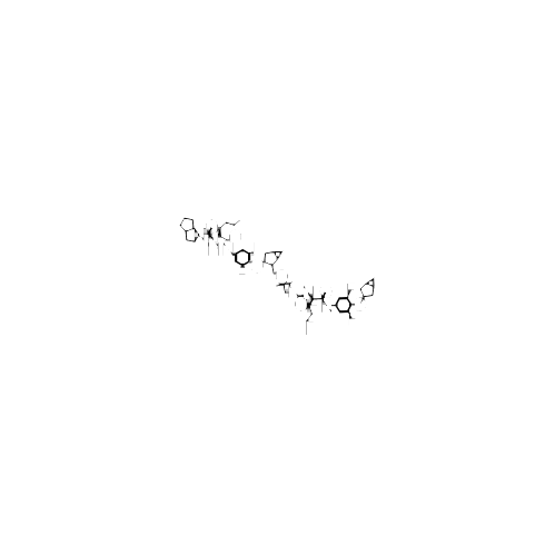 CCCc1oc(N2CCC3CCCC32)nc1C(=O)Nc1cc(F)c(OC2CC3CC3C2COC2(C)CN(c3nc(C(=O)Nc4cc(F)c(OC5CC6CC6C5)c(F)c4)c(CCF)o3)C2)c(F)c1